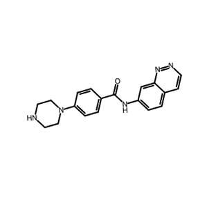 O=C(Nc1ccc2ccnnc2c1)c1ccc(N2CCNCC2)cc1